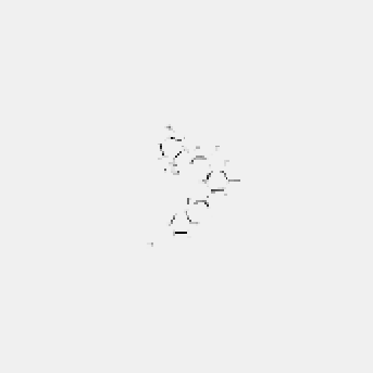 CCOC(=O)Cc1ccc(NC(=O)c2cc(C)c3c(c2)N(S(=O)(=O)c2cc(Cl)ccc2OC)CO3)cc1